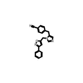 N#Cc1ccc(Cc2cncn2Cc2cc(-c3ccccc3)no2)cc1